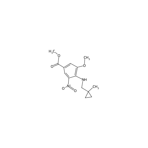 COC(=O)c1cc(OC)c(NCC2(C)CC2)c([N+](=O)[O-])c1